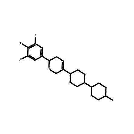 CC1CCC(C2CCC(C3=CCC(c4cc(F)c(F)c(F)c4)OC3)CC2)CC1